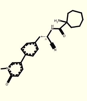 Cn1cc(-c2ccc(C[C@@H](C#N)NC(=O)C3(N)CCCCCC3)cc2)ccc1=O